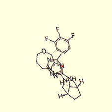 Cc1cc(N2C[C@H]3CC[C@@H](C2)[C@@H]3Nc2nc3n(n2)CCCO[C@@H]3c2ccc(F)c(F)c2F)ncn1